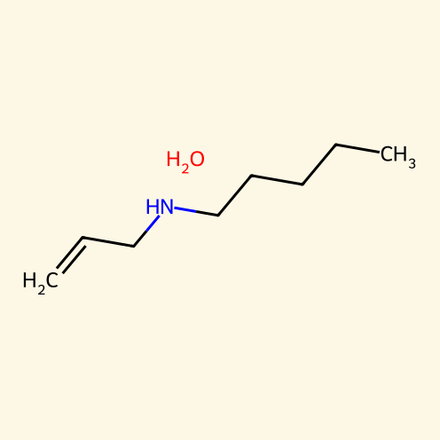 C=CCNCCCCC.O